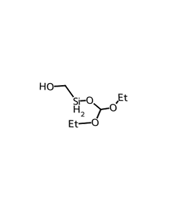 CCOC(OCC)O[SiH2]CO